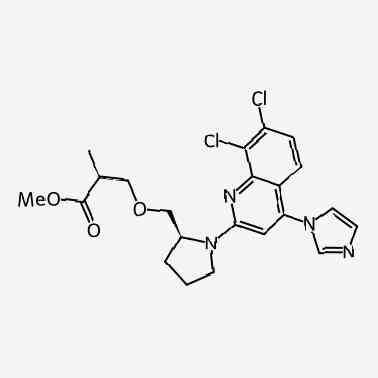 COC(=O)C(C)COC[C@@H]1CCCN1c1cc(-n2ccnc2)c2ccc(Cl)c(Cl)c2n1